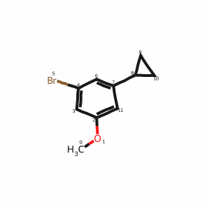 COc1cc(Br)cc(C2CC2)c1